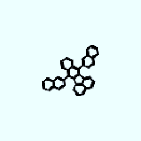 c1ccc2cc(-c3c4c(c(-c5ccc6ccccc6c5)c5ccccc35)-c3cccc5cccc-4c35)ccc2c1